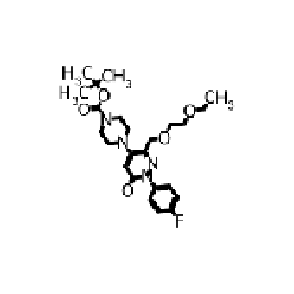 CCOCCOCc1nn(-c2ccc(F)cc2)c(=O)cc1N1CCN(C(=O)OC(C)(C)C)CC1